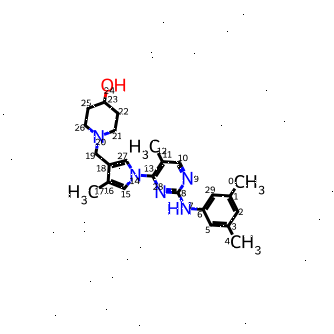 Cc1cc(C)cc(Nc2ncc(C)c(-n3cc(C)c(CN4CCC(O)CC4)c3)n2)c1